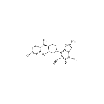 Cc1nc2c(N3CC[C@H](N(C)c4ccc(Cl)cc4)[C@H](C)C3)c(C#N)c(=O)n(C)c2s1